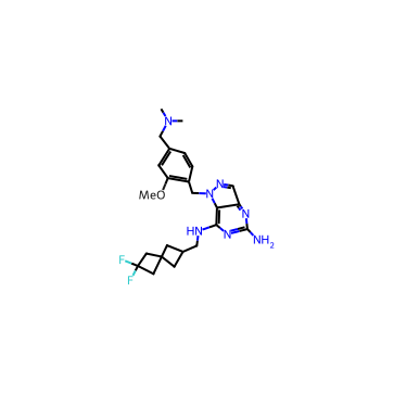 COc1cc(CN(C)C)ccc1Cn1ncc2nc(N)nc(NCC3CC4(C3)CC(F)(F)C4)c21